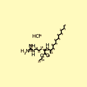 CCCCCCCCCCC(C)N[C@@H](CCCNC(=N)N)C(=O)OCC.Cl